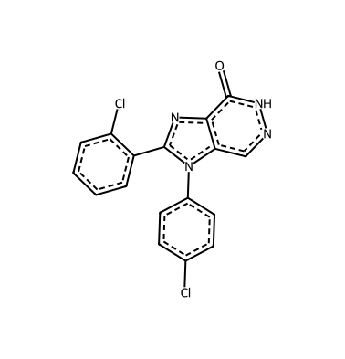 O=c1[nH]ncc2c1nc(-c1ccccc1Cl)n2-c1ccc(Cl)cc1